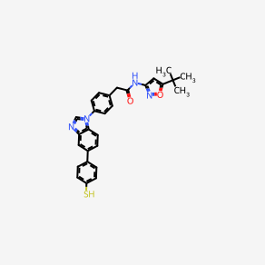 CC(C)(C)c1cc(NC(=O)Cc2ccc(-n3cnc4cc(-c5ccc(S)cc5)ccc43)cc2)no1